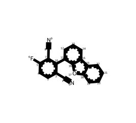 N#Cc1ccc(F)c(C#N)c1-c1cccc2c1oc1ccccc12